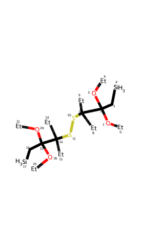 CCOC(C[SiH3])(OCC)C(CC)(CC)SSC(CC)(CC)C(C[SiH3])(OCC)OCC